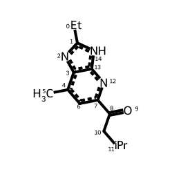 CCc1nc2c(C)cc(C(=O)CC(C)C)nc2[nH]1